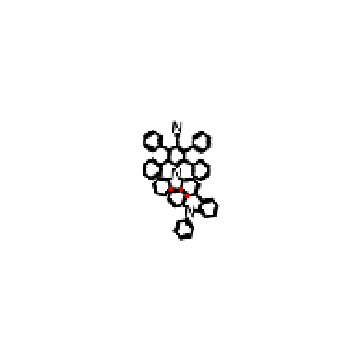 N#Cc1c(-c2ccccc2)c(-c2ccccc2)c(-n2c3ccccc3c3cc(-c4ccccc4N(c4ccccc4)c4ccccc4)ccc32)c(-c2ccccc2)c1-c1ccccc1